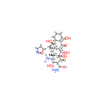 CN(C)[C@@H]1C(O)=C(C(N)=O)C(=O)[C@@]2(O)C(O)=C3C(=O)c4c(O)cccc4[C@@](C)(O)[C@H]3C[C@@H]12.c1cnoc1